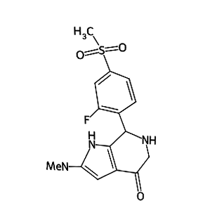 CNc1cc2c([nH]1)C(c1ccc(S(C)(=O)=O)cc1F)NCC2=O